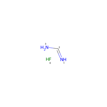 F.N=CN